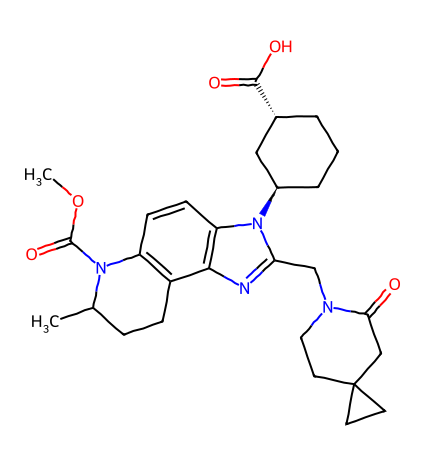 COC(=O)N1c2ccc3c(nc(CN4CCC5(CC5)CC4=O)n3[C@@H]3CCC[C@@H](C(=O)O)C3)c2CCC1C